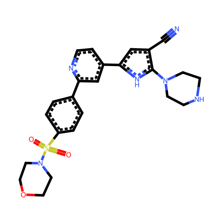 N#Cc1cc(-c2ccnc(-c3ccc(S(=O)(=O)N4CCOCC4)cc3)c2)[nH]c1N1CCNCC1